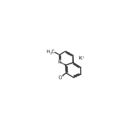 Cc1ccc2cccc([O-])c2n1.[K+]